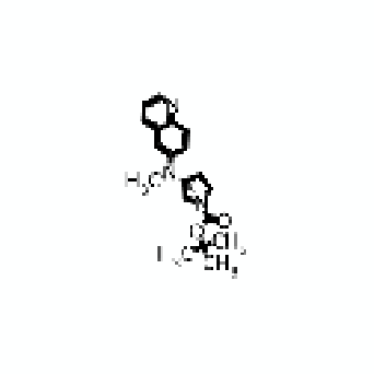 CN(c1ccc2ncccc2c1)[C@@H]1CCN(C(=O)OC(C)(C)C)C1